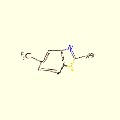 CC(C)c1nc2cc(C(F)(F)F)ccc2s1